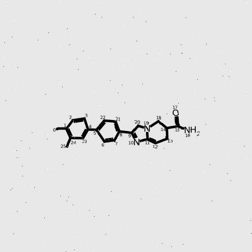 Cc1ccc(-c2ccc(C3=NC4=CCC(C(N)=O)CN4C3)cc2)cc1C